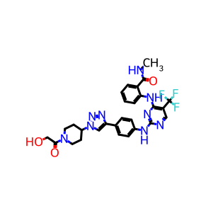 CNC(=O)c1ccccc1Nc1nc(Nc2ccc(-c3cn(C4CCN(C(=O)CO)CC4)nn3)cc2)ncc1C(F)(F)F